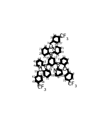 FC(F)(F)c1ccc(COc2ccccc2B(c2cc(B(c3ccccn3)c3ccccc3OCc3ccc(C(F)(F)F)cc3)cc(B(c3ccccn3)c3ccccc3OCc3ccc(C(F)(F)F)cc3)c2)c2ccccn2)cc1